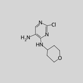 Nc1cnc(Cl)nc1NC1CCOCC1